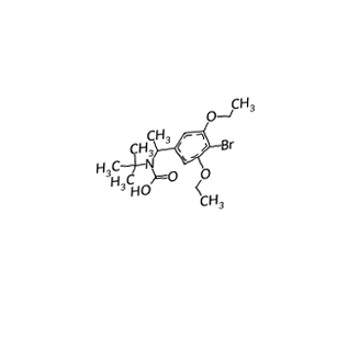 CCOc1cc(C(C)N(C(=O)O)C(C)(C)C)cc(OCC)c1Br